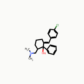 CN(C)CC1CCCC(=Cc2ccc(Cl)cc2)C1(O)c1ccccc1